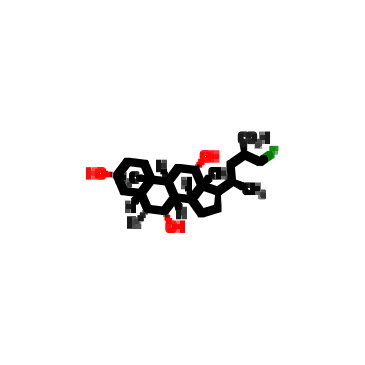 CC[C@H]1[C@@H](O)[C@@H]2[C@H](C[C@H](O)[C@]3(C)[C@@H]([C@H](C)C[C@H](CF)C(=O)O)CC[C@@H]23)[C@@]2(C)CC[C@@H](O)C[C@@H]12